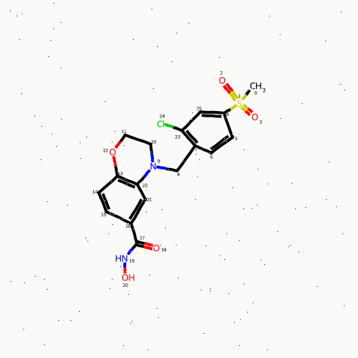 CS(=O)(=O)c1ccc(CN2CCOc3ccc(C(=O)NO)cc32)c(Cl)c1